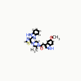 COc1ccc2[nH]cc(CC(=O)N3CCN(c4scnc4-c4nc5ccccc5[nH]4)CC3C)c2c1